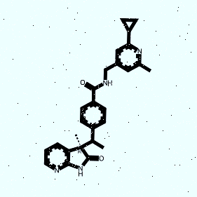 Cc1cc(CNC(=O)c2ccc(C(C)[C@@]3(C)C(=O)Nc4ncccc43)cc2)cc(C2CC2)n1